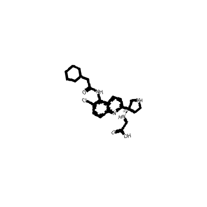 O=C(O)CN[C@@]1(c2ccc3c(NC(=O)CC4CCCCC4)c(Cl)ccc3n2)CCNC1